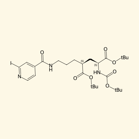 CC(C)(C)OC(=O)N[C@@H](C[C@H](CCCNC(=O)c1ccnc(I)c1)C(=O)OC(C)(C)C)C(=O)OC(C)(C)C